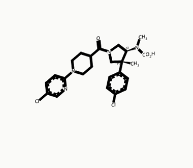 CN(C(=O)O)[C@@H]1CN(C(=O)C2CCN(c3ccc(Cl)cn3)CC2)C[C@@]1(C)c1ccc(Cl)cc1